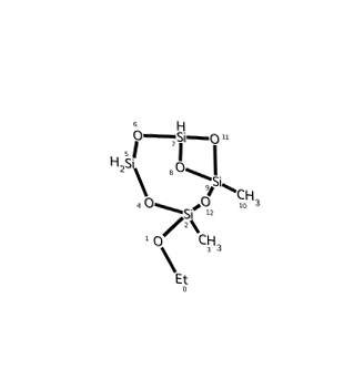 CCO[Si]1(C)O[SiH2]O[SiH]2O[Si](C)(O2)O1